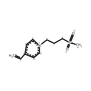 C=Cc1cc[n+](CCCS(C)(=O)=O)cc1